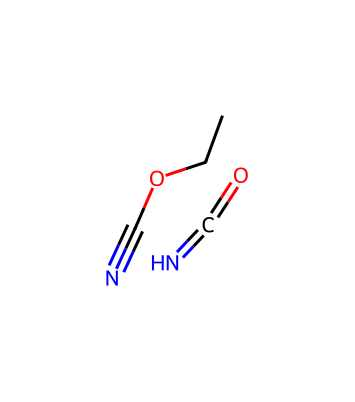 CCOC#N.N=C=O